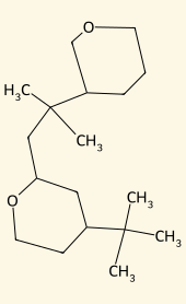 CC(C)(C)C1CCOC(CC(C)(C)C2CCCOC2)C1